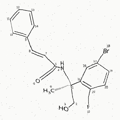 C[C@](CO)(NC(=O)C=Cc1ccccc1)c1cc(Br)ccc1F